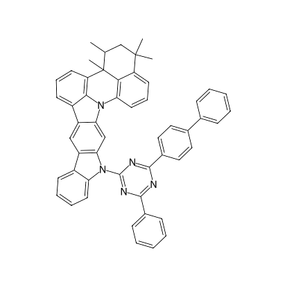 CC1CC(C)(C)c2cccc3c2C1(C)c1cccc2c4cc5c6ccccc6n(-c6nc(-c7ccccc7)nc(-c7ccc(-c8ccccc8)cc7)n6)c5cc4n-3c12